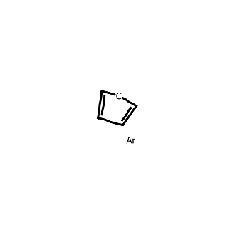 C1=CCC=C1.[Ar]